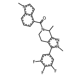 CC1c2nn(C)c(-c3cc(F)c(F)c(F)c3)c2CCN1C(=O)c1cccc2c1ccn2C